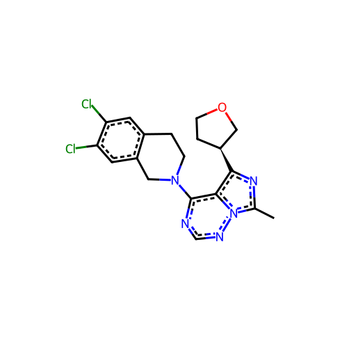 Cc1nc([C@H]2CCOC2)c2c(N3CCc4cc(Cl)c(Cl)cc4C3)ncnn12